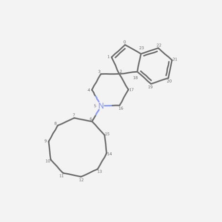 C1=CC2(CCN(C3CCCCCCCCC3)CC2)c2ccccc21